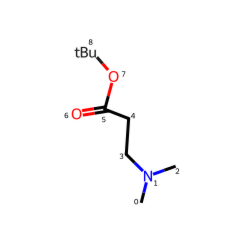 CN(C)CCC(=O)OC(C)(C)C